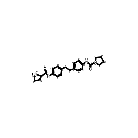 O=C(Nc1ccc(CCc2ccc(NC(=O)N3CCCC3)cc2)cc1)C1CCCN1